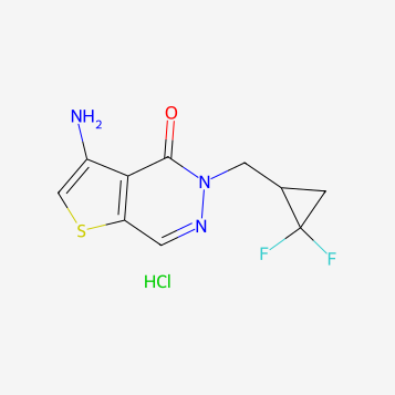 Cl.Nc1csc2cnn(CC3CC3(F)F)c(=O)c12